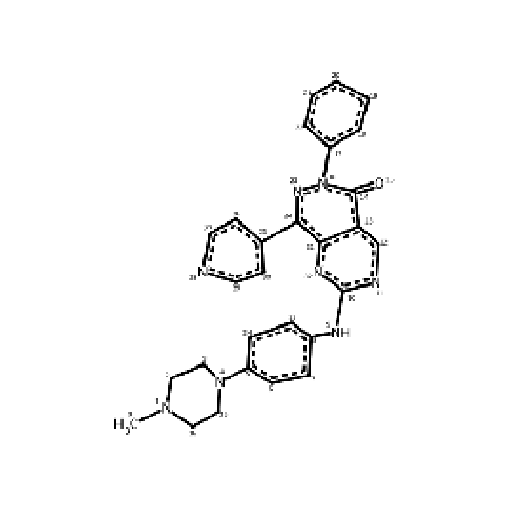 CN1CCN(c2ccc(Nc3ncc4c(=O)n(-c5ccccc5)nc(-c5ccncc5)c4n3)cc2)CC1